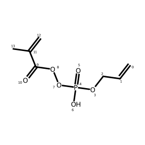 C=CCOP(=O)(O)OOC(=O)C(=C)C